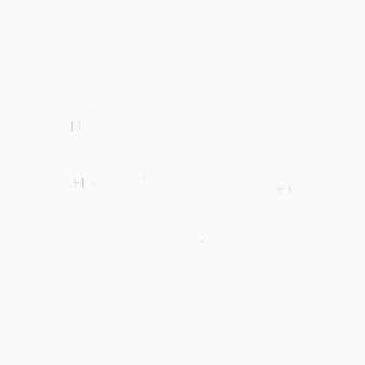 CCOC(=O)C1=C(C(=O)OCC)C(C)(C)C(C)=CC1